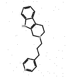 c1ccc2c3c([nH]c2c1)CN(CCCc1ccncc1)CC3